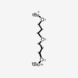 CC(C)(C)OCCCOCCCOC(C)(C)C